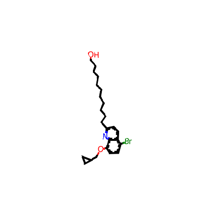 OCCCCCCCCCCCc1ccc2c(Br)ccc(OCC3CC3)c2n1